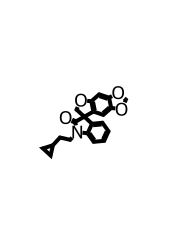 O=C1N(CCC2CC2)c2ccccc2C12COc1cc3c(cc12)OCO3